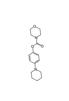 O=C(Oc1ccc(N2CCCCC2)cc1)N1CCOCC1